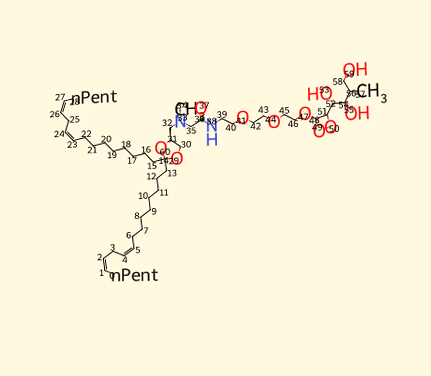 CCCCC/C=C\C/C=C\CCCCCCCCC1(CCCCCCCC/C=C\C/C=C\CCCCC)OC[C@H](CN(C)CC(=O)NCCOCCOCCO[C@@H]2OOC2[C@H](O)[C@H](O)C(C)CO)O1